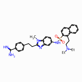 CCN(CC)CCc1c(S(=O)(=O)Nc2ccc3c(c2)nc(CCc2ccc(C(=N)N)cc2)n3C)ccc2ccccc12